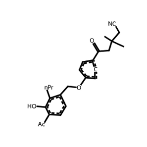 CCCc1c(COc2ccc(C(=O)CC(C)(C)CC#N)cc2)ccc(C(C)=O)c1O